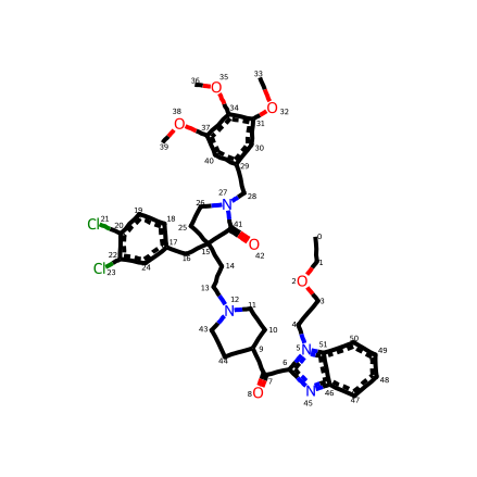 CCOCCn1c(C(=O)C2CCN(CCC3(Cc4ccc(Cl)c(Cl)c4)CCN(Cc4cc(OC)c(OC)c(OC)c4)C3=O)CC2)nc2ccccc21